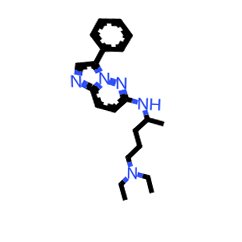 CCN(CC)CCCC(C)Nc1ccc2ncc(-c3ccccc3)n2n1